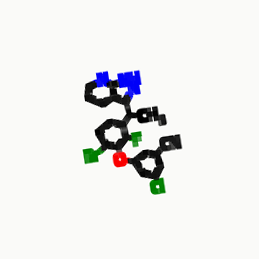 CC(c1ccc(Br)c(Oc2cc(Cl)cc(C#N)c2)c1F)c1n[nH]c2ncccc12